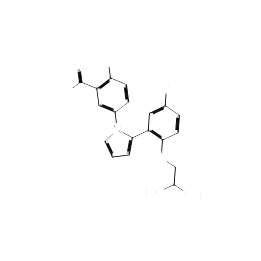 CC(C)COc1ccc(Br)cc1-c1cccn1-c1ccc(F)c(C(=O)O)c1